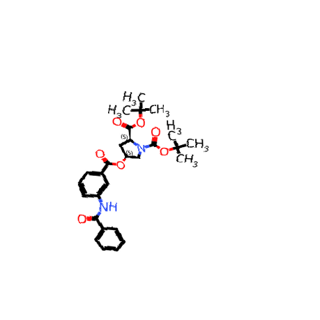 CC(C)(C)OC(=O)[C@@H]1C[C@H](OC(=O)c2cccc(NC(=O)c3ccccc3)c2)CN1C(=O)OC(C)(C)C